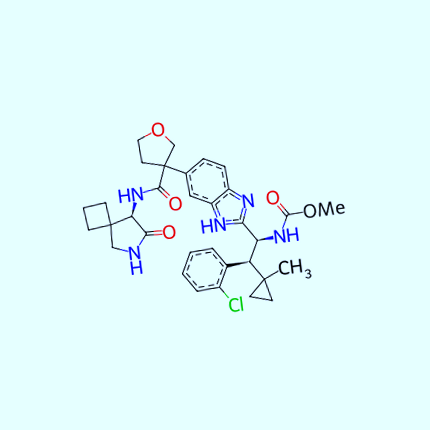 COC(=O)N[C@H](c1nc2ccc(C3(C(=O)N[C@H]4C(=O)NCC45CCC5)CCOC3)cc2[nH]1)[C@H](c1ccccc1Cl)C1(C)CC1